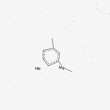 Br.[CH3][Mg][c]1cccc(C)c1